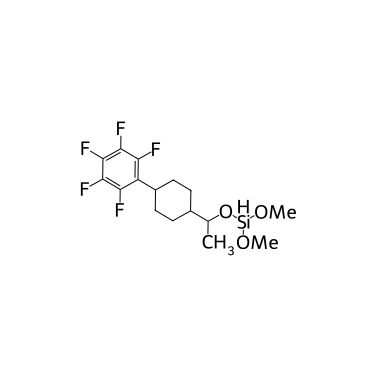 CO[SiH](OC)OC(C)C1CCC(c2c(F)c(F)c(F)c(F)c2F)CC1